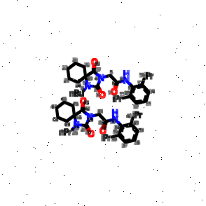 CCCCN1C(=O)N(CC(=O)Nc2c(C(C)C)cccc2C(C)C)C(=O)C12CCCCC2.CCCN1C(=O)N(CC(=O)Nc2c(C(C)C)cccc2C(C)C)C(=O)C12CCCCC2